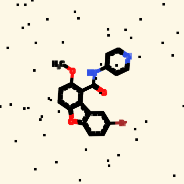 COc1ccc2oc3ccc(Br)cc3c2c1C(=O)Nc1ccncc1